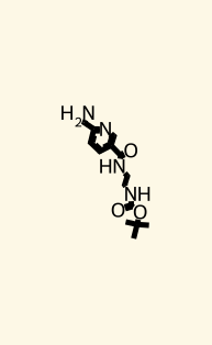 CC(C)(C)OC(=O)NCCNC(=O)c1ccc(CN)nc1